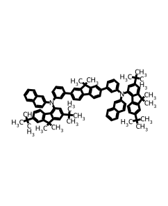 CC(C)(C)c1ccc2c(c1)C(C)(C)c1cc(C(C)(C)C)cc(N(c3cccc(-c4ccc5c(c4)C(C)(C)c4cc(-c6cccc(N(c7ccc8ccccc8c7)c7cc(C(C)(C)C)cc8c7-c7ccc(C(C)(C)C)cc7C8(C)C)c6)ccc4-5)c3)c3ccc4ccccc4c3)c1-2